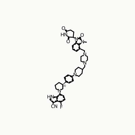 Cn1c(=O)n(C2CCC(=O)NC2=O)c2cccc(CN3CCN(CC4CCN(c5ccc([C@@H]6CCCN(c7ccc(F)c8c(C#N)c[nH]c78)C6)cc5)CC4)CC3)c21